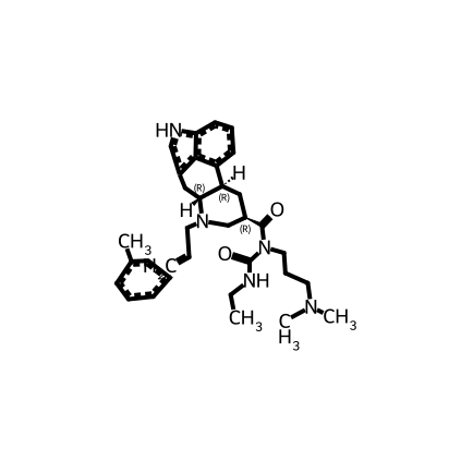 C=CCN1C[C@H](C(=O)N(CCCN(C)C)C(=O)NCC)C[C@@H]2c3cccc4[nH]cc(c34)C[C@H]21.Cc1ccccc1